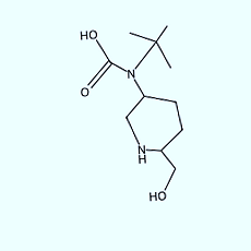 CC(C)(C)N(C(=O)O)C1CCC(CO)NC1